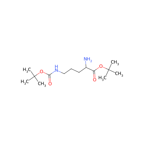 CC(C)(C)OC(=O)NCCCC(N)C(=O)OC(C)(C)C